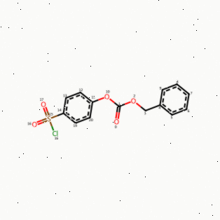 O=C(OCc1ccccc1)Oc1ccc(S(=O)(=O)Cl)cc1